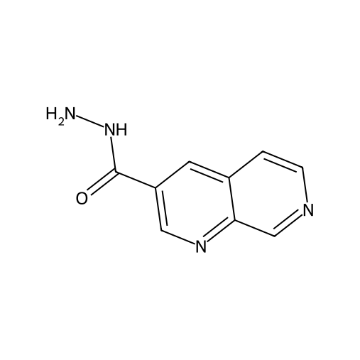 NNC(=O)c1cnc2cnccc2c1